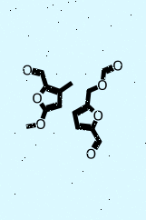 COc1cc(C)c(C=O)o1.O=COCc1ccc(C=O)o1